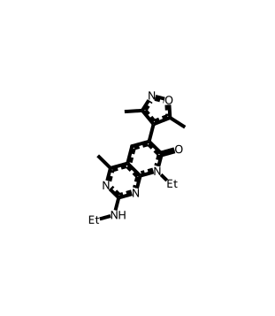 CCNc1nc(C)c2cc(-c3c(C)noc3C)c(=O)n(CC)c2n1